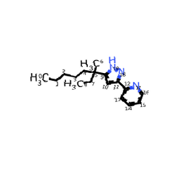 CCCCCC(C)(CC)c1cc(-c2ccccn2)n[nH]1